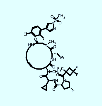 CC(C)C[C@@H]1NC(=O)[C@@H](N(C)C(=O)[C@@H](NC(=O)[C@@H]2C[C@@H](F)CN2C(=O)C2(C(F)(F)F)CC(F)(F)C2)C2CC2)CCC=CCCCNC(=O)[C@H](Cc2cc(Cl)ccc2-c2cnn(S(C)(=O)=O)c2)N(C)C1=O